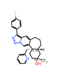 O[C@]1(C(F)(F)F)CC[C@@]2(Cc3ccccn3)c3cn4nnc(-c5ccc(F)cc5)c4cc3CCC[C@@H]2C1